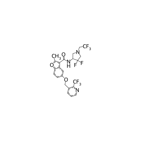 Cc1oc2ccc(OCc3cccnc3C(F)(F)F)cc2c1C(=O)NC1CN(CC(F)(F)F)CC1(F)F